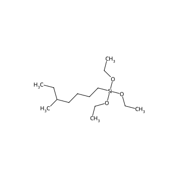 CCO[Si](CCCCC(C)CC)(OCC)OCC